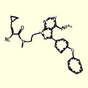 CN(CCn1nc(-c2ccc(Oc3ccccc3)cc2)c2c(N)ncnc21)C(=O)/C(C#N)=C\C1CC1